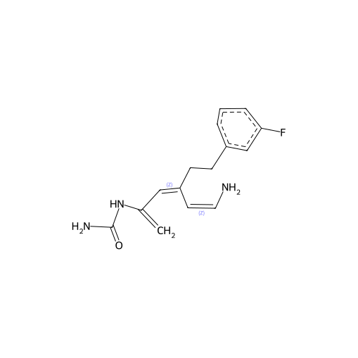 C=C(/C=C(\C=C/N)CCc1cccc(F)c1)NC(N)=O